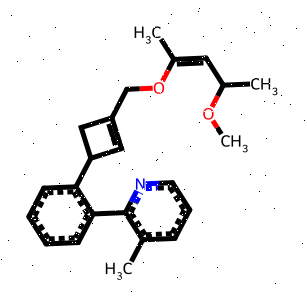 COC(C)/C=C(/C)OCC1=CC(c2ccccc2-c2ncccc2C)C1